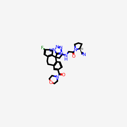 N#C[C@@H]1CCCN1C(=O)CNCCC1(c2nnn[nH]2)c2ccc(F)cc2CCc2cc(C(=O)N3CCOCC3)ccc21